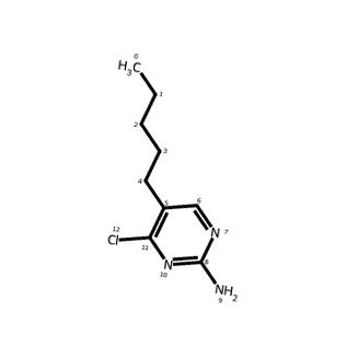 CCCCCc1cnc(N)nc1Cl